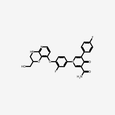 NC(=O)c1cn(-c2ccc(Oc3ccnc4c3OC(CO)CN4)c(F)c2)cc(-c2ccc(F)cc2)c1=O